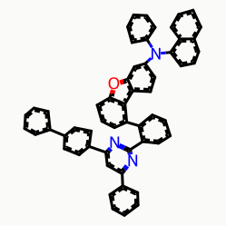 c1ccc(-c2ccc(-c3cc(-c4ccccc4)nc(-c4ccccc4-c4cccc5oc6cc(N(c7ccccc7)c7cccc8ccccc78)ccc6c45)n3)cc2)cc1